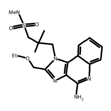 CCOCc1nc2c(N)nc3ccccc3c2n1CC(C)(C)CS(=O)(=O)NC